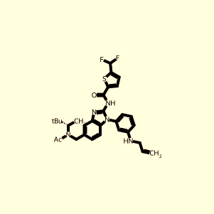 C=CCNc1cccc(-n2c(NC(=O)c3ccc(C(F)F)s3)nc3cc(CN(C(C)=O)[C@@H](C)C(C)(C)C)ccc32)c1